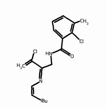 C=C(Cl)/C(CNC(=O)c1cccc(C)c1Cl)=N\C=C/C(C)CC